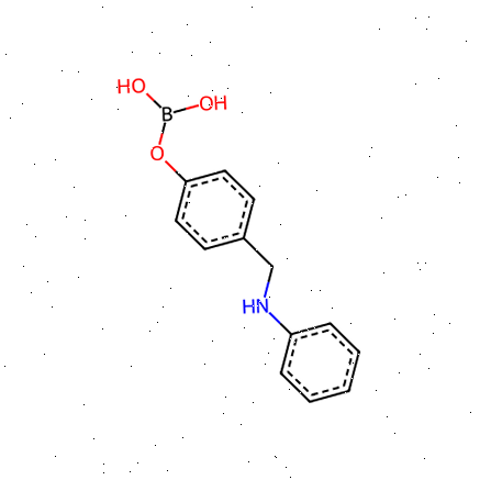 OB(O)Oc1ccc(CNc2ccccc2)cc1